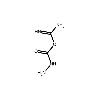 N=C(N)OC(=O)NN